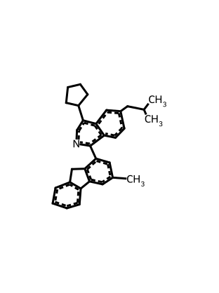 Cc1cc2c(c(-c3ncc(C4CCCC4)c4cc(CC(C)C)ccc34)c1)Cc1ccccc1-2